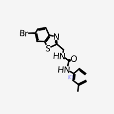 C=C/C(=C\C(=C)C)NC(=O)NCc1nc2ccc(Br)cc2s1